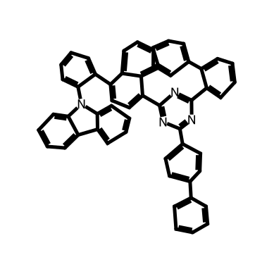 c1ccc(-c2ccc(-c3nc(-c4ccccc4-c4ccccc4)nc(-c4ccc(-c5ccccc5-n5c6ccccc6c6ccccc65)c5ccccc45)n3)cc2)cc1